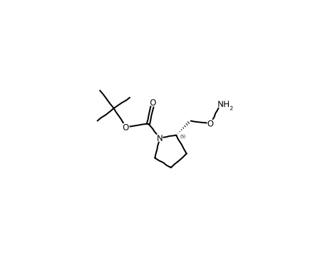 CC(C)(C)OC(=O)N1CCC[C@H]1CON